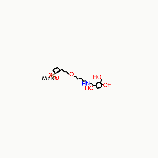 CNS(=O)(=O)c1cccc(CCCCOCCCCCCNC[C@@H](O)c2ccc(O)c(CO)c2)c1